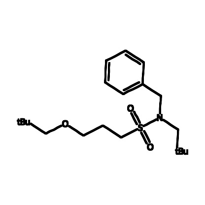 CC(C)(C)COCCCS(=O)(=O)N(Cc1ccccc1)CC(C)(C)C